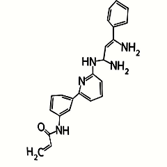 C=CC(=O)Nc1cccc(-c2cccc(NC(N)/C=C(\N)c3ccccc3)n2)c1